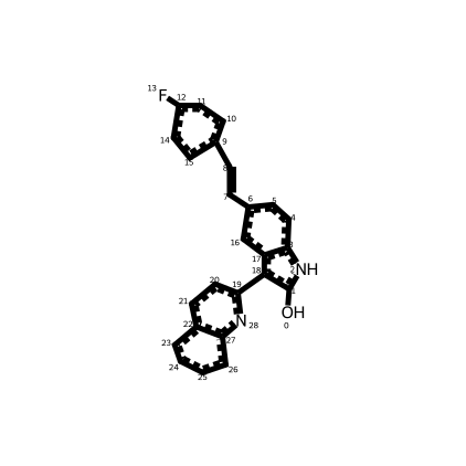 Oc1[nH]c2ccc(/C=C/c3ccc(F)cc3)cc2c1-c1ccc2ccccc2n1